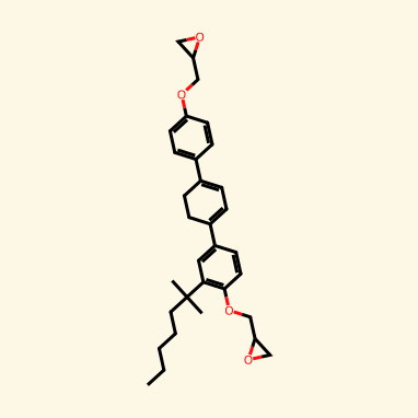 CCCCCC(C)(C)c1cc(C2=CC=C(c3ccc(OCC4CO4)cc3)CC2)ccc1OCC1CO1